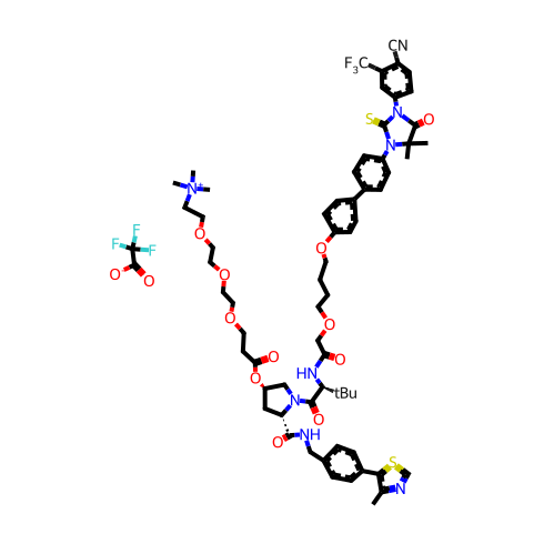 Cc1ncsc1-c1ccc(CNC(=O)[C@@H]2C[C@@H](OC(=O)CCOCCOCCOCC[N+](C)(C)C)CN2C(=O)[C@@H](NC(=O)COCCCCOc2ccc(-c3ccc(N4C(=S)N(c5ccc(C#N)c(C(F)(F)F)c5)C(=O)C4(C)C)cc3)cc2)C(C)(C)C)cc1.O=C([O-])C(F)(F)F